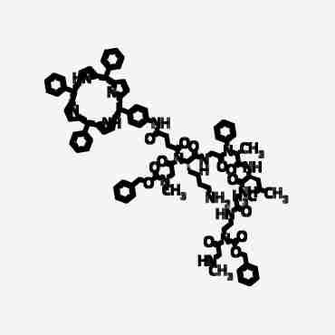 CNCC(=O)N(CCNC(=O)CNC(=O)[C@H](CC(C)C)NC(=O)[C@H](C)N(C(=O)CNC(=O)[C@H](CCCCN)N(C(=O)CCC(=O)Nc1ccc(-c2c3nc(c(-c4ccccc4)c4ccc([nH]4)c(-c4ccccc4)c4nc(c(-c5ccccc5)c5ccc2[nH]5)C=C4)C=C3)cc1)C(=O)CN(C)C(=O)OCc1ccccc1)c1ccccc1)C(=O)OCc1ccccc1